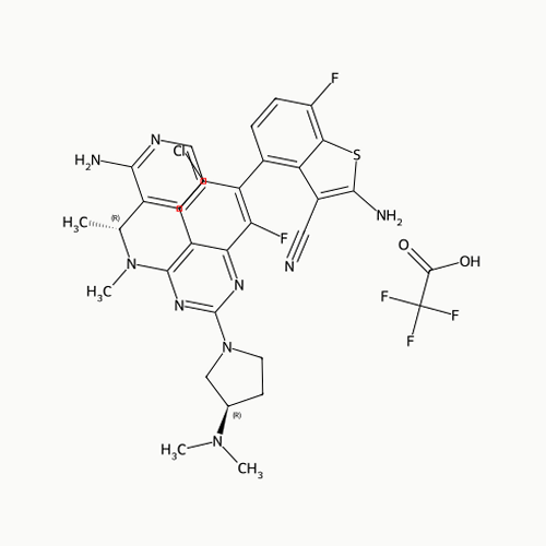 C[C@H](c1cccnc1N)N(C)c1nc(N2CC[C@@H](N(C)C)C2)nc2c(F)c(-c3ccc(F)c4sc(N)c(C#N)c34)c(Cl)cc12.O=C(O)C(F)(F)F